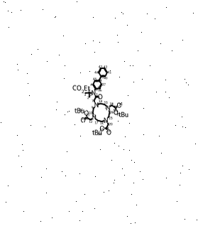 CCOC(=O)C(C)(C)N(C(=O)CN1CCN(CC(=O)OC(C)(C)C)CCN(CC(=O)OC(C)(C)C)CCN(CC(=O)OC(C)(C)C)CC1)c1ccc(-c2ccccc2)cc1